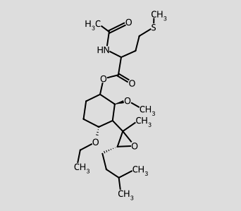 CCO[C@@H]1CCC(OC(=O)C(CCSC)NC(C)=O)[C@@H](OC)C1C1(C)O[C@@H]1CCC(C)C